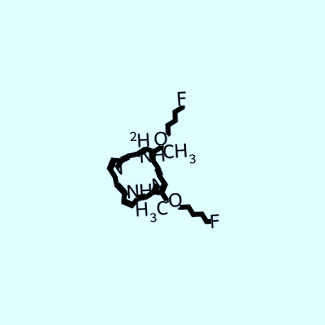 [2H]c1c(C(C)OCCCCCF)c2cc3nc(cc4ccc(cc5nc(cc1[nH]2)C=C5)[nH]4)C(C(C)OCCCCCF)=C3